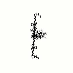 CCCCCOC(=O)OCCCCOP(=O)(NC(=N)N(C)C(CCC)C(=O)O)OCCCCOC(=O)OCCCCC